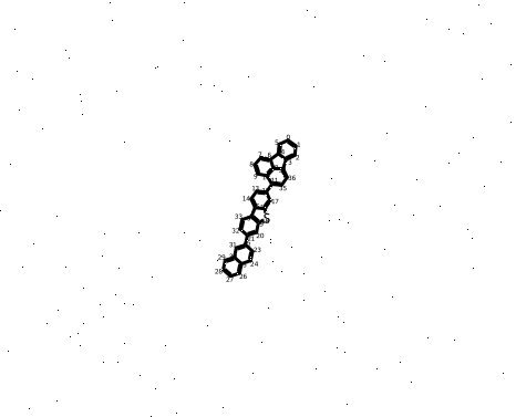 c1ccc2c(c1)-c1cccc3c(-c4ccc5c(c4)sc4cc(-c6ccc7ccccc7c6)ccc45)ccc-2c13